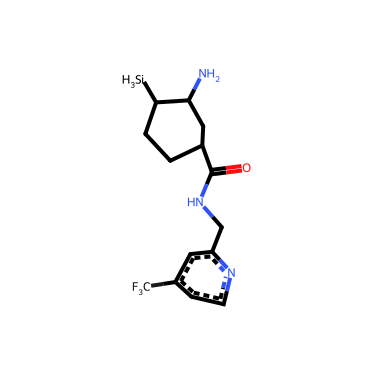 NC1CC(C(=O)NCc2cc(C(F)(F)F)ccn2)CCC1[SiH3]